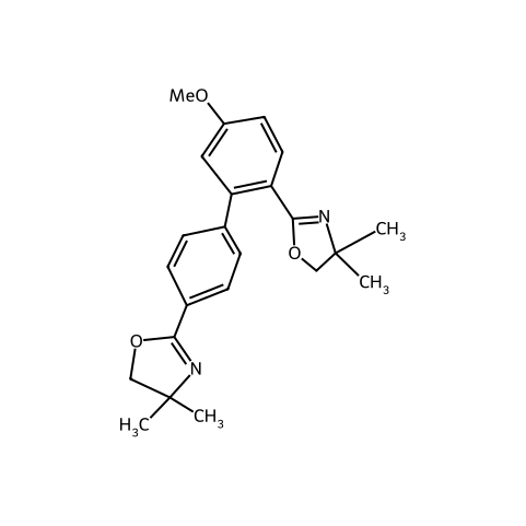 COc1ccc(C2=NC(C)(C)CO2)c(-c2ccc(C3=NC(C)(C)CO3)cc2)c1